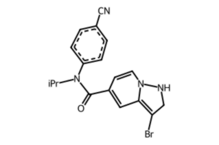 CC(C)N(C(=O)C1=CC2=C(Br)CNN2C=C1)c1ccc(C#N)cc1